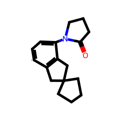 O=C1CCCN1c1cc[c]c2c1CC1(CCCC1)C2